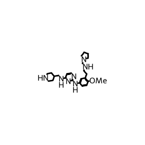 COc1ccc(Nc2nccc(NCC3CCNCC3)n2)cc1CCNCN1CCCC1